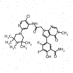 CN1C(C)(C)CN(c2cc(NC(=O)Cn3cc(-c4cc(C(N)=O)c(O)c(F)c4F)c4c(=O)n(C)cnc43)c(Cl)cn2)CC1(C)C